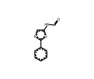 O=CNc1cnc(-c2ccccc2)s1